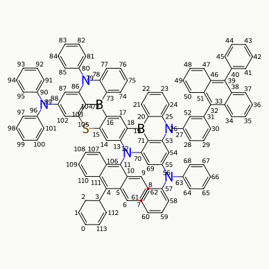 C1=CCC(c2c3ccccc3c(N3c4cc5c(cc4B4c6ccccc6N(c6cccc(-c7c8ccccc8c(-c8ccccc8)c8ccccc78)c6)c6cc(N(c7ccccc7)c7ccccc7)cc3c64)B3c4ccccc4N(c4ccccc4)c4cc(N(c6ccccc6)c6ccccc6)cc(c43)S5)c3ccccc23)C=C1